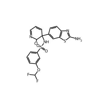 Nc1nc2ccc(C3(NS(=O)(=O)c4cccc(OC(F)F)c4)C=CC=NC3Cl)cc2s1